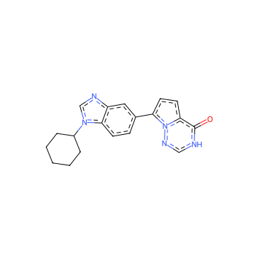 O=c1[nH]cnn2c(-c3ccc4c(c3)ncn4C3CCCCC3)ccc12